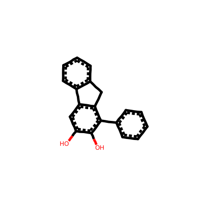 Oc1cc2c(c(-c3ccccc3)c1O)Cc1ccccc1-2